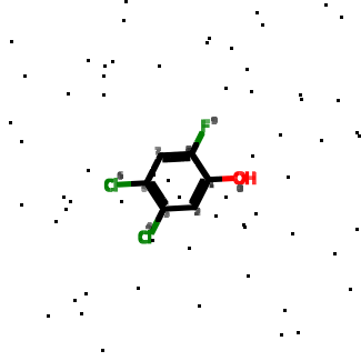 Oc1cc(Cl)c(Cl)cc1F